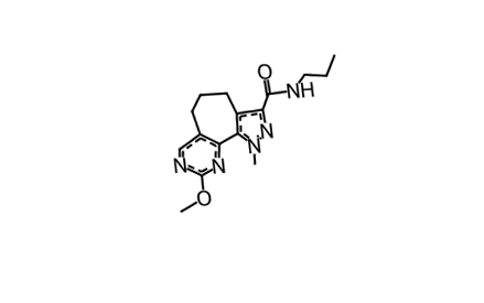 CCCNC(=O)c1nn(C)c2c1CCCc1cnc(OC)nc1-2